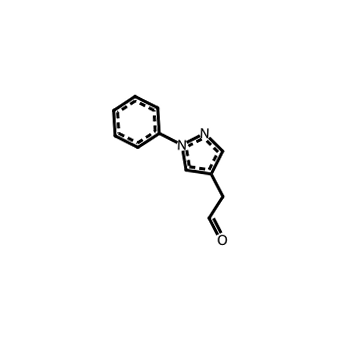 O=CCc1cnn(-c2ccccc2)c1